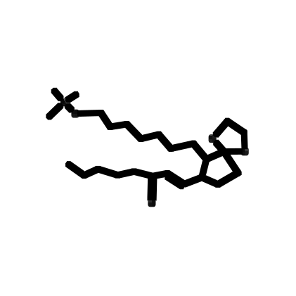 CCCCCC(=O)C=CC1CCC2(OCCO2)C1CCCCCCCO[Si](C)(C)C